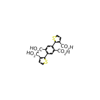 O=C(O)c1cc(-c2sccc2C(=O)O)c(C(=O)O)cc1-c1sccc1C(=O)O